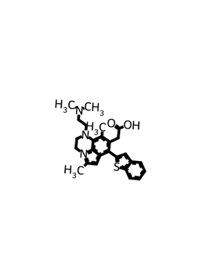 Cc1c(CC(=O)O)c(-c2cc3ccccc3s2)c2cc(C)n3c2c1N(CCN(C)C)CC3